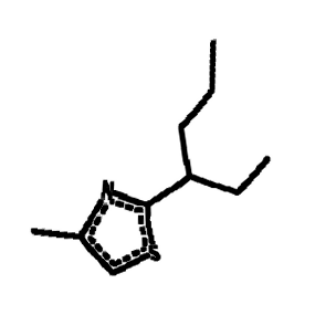 CCCC(CC)c1nc(C)cs1